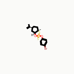 C=C(C)[C@H]1CC[C@@]2(C)SP(=S)(Oc3ccc(Br)cc3)O[C@H]2C1